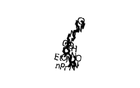 CCCc1nn(C)c2c(=O)[nH]c(-c3cc(S(=O)(=O)N4CCN(CCN5CCOCC5)CC4)ccc3OCC)nc12